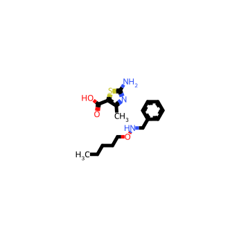 CCCCCONCc1ccccc1.Cc1nc(N)sc1C(=O)O